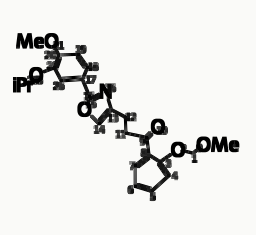 COCOc1ccccc1C(=O)CCc1coc(-c2ccc(OC)c(OC(C)C)c2)n1